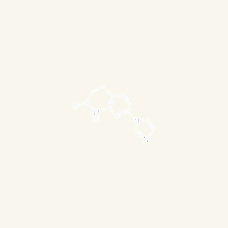 O=C1CCc2ccc(-n3ccnc3)cc2N1